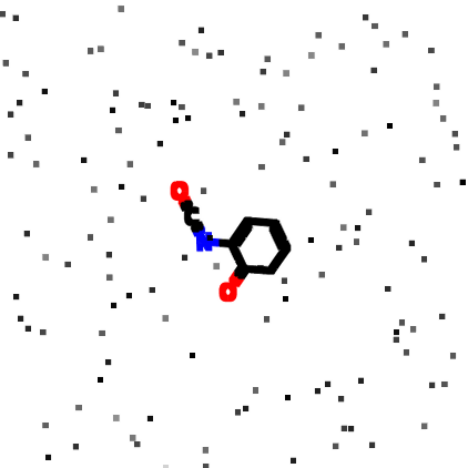 O=C=NC1=CC=CCC1=O